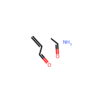 C=CC=O.CC=O.N